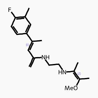 C=C(/C=C(\C)c1ccc(F)c(C)c1)NCCN/C(C)=C(/C)OC